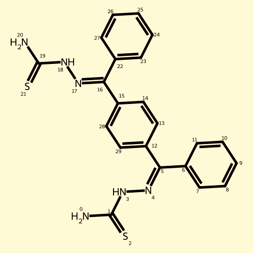 NC(=S)NN=C(c1ccccc1)c1ccc(C(=NNC(N)=S)c2ccccc2)cc1